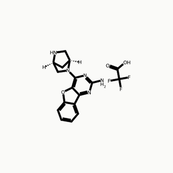 Nc1nc(N2C[C@@H]3C[C@H]2CN3)c2oc3ccccc3c2n1.O=C(O)C(F)(F)F